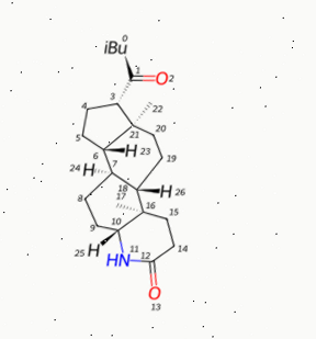 CC[C@H](C)C(=O)[C@H]1CC[C@H]2[C@@H]3CC[C@H]4NC(=O)CC[C@]4(C)[C@H]3CC[C@]12C